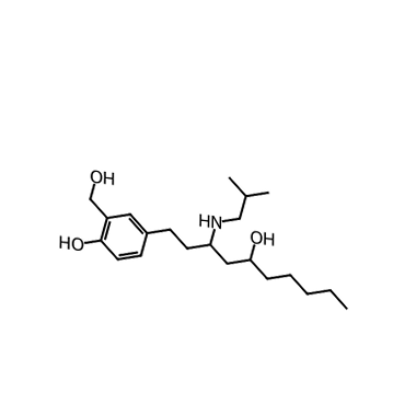 CCCCCC(O)CC(CCc1ccc(O)c(CO)c1)NCC(C)C